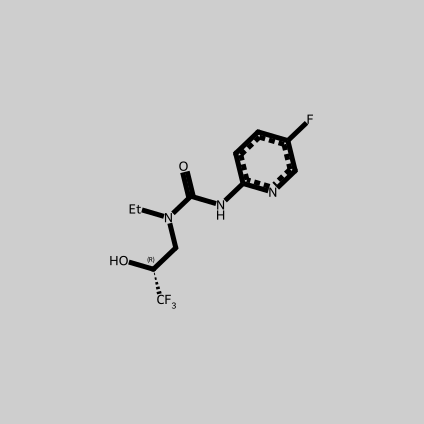 CCN(C[C@@H](O)C(F)(F)F)C(=O)Nc1ccc(F)cn1